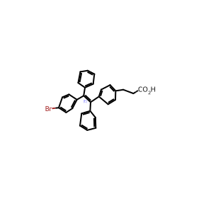 O=C(O)CCc1ccc(/C(=C(\c2ccccc2)c2ccc(Br)cc2)c2ccccc2)cc1